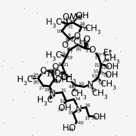 CC[C@H]1OC(=O)[C@H](C)[C@@H](O[C@H]2C[C@@](C)(OC)[C@@H](O)[C@H](C)O2)[C@H](C)[C@@H](O[C@@H]2O[C@H](C)CC(N(C)CC(O)CN(CCO)CCO)[C@H]2O)[C@](C)(O)C[C@@H](C)CN(C)[C@H](C)[C@@H](O)[C@]1(C)O